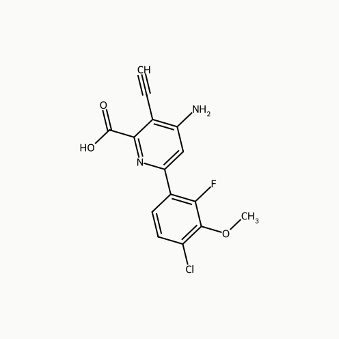 C#Cc1c(N)cc(-c2ccc(Cl)c(OC)c2F)nc1C(=O)O